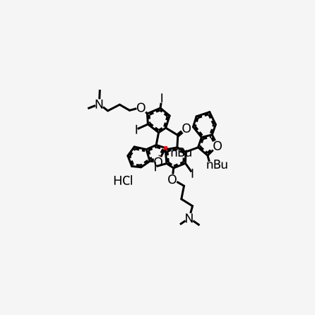 CCCCc1oc2ccccc2c1-c1c(C(=O)c2cc(I)c(OCCCN(C)C)c(I)c2-c2c(CCCC)oc3ccccc23)cc(I)c(OCCCN(C)C)c1I.Cl